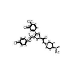 CC(=O)N(C)C1CCN(CC(=O)N2C[C@@H]([C@H](C)Oc3ccc(Cl)cc3)[C@@H](c3ccc(Cl)c(Cl)c3)C2)CC1